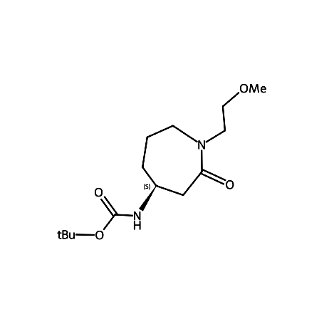 COCCN1CCC[C@H](NC(=O)OC(C)(C)C)CC1=O